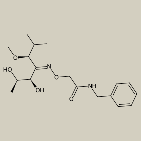 CO[C@H](/C(=N/OCC(=O)NCc1ccccc1)[C@@H](O)[C@@H](C)O)C(C)C